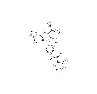 CC(C)n1nccc1C(=O)N[C@H](C(=O)Nc1ccc([C@H](C)C(=O)N2CCNCC2C(F)(F)F)cc1F)C(=C1CC1)C1CC1